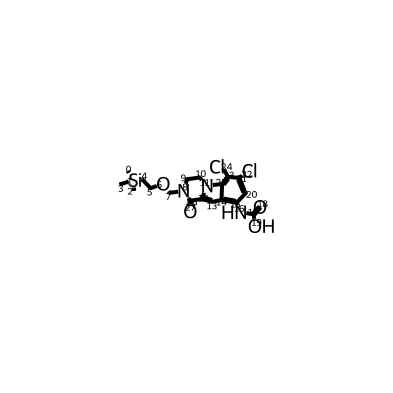 C[Si](C)(C)CCOCN1CCn2c(cc3c(NC(=O)O)cc(Cl)c(Cl)c32)C1=O